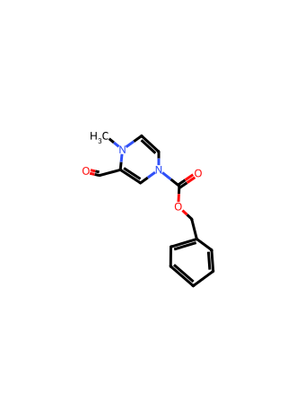 CN1C=CN(C(=O)OCc2ccccc2)C=C1C=O